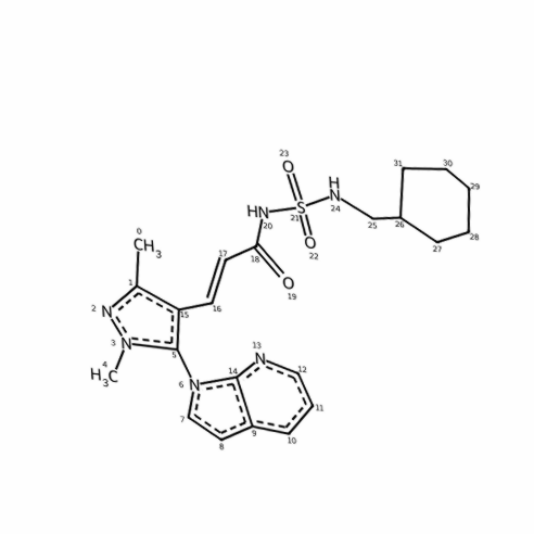 Cc1nn(C)c(-n2ccc3cccnc32)c1C=CC(=O)NS(=O)(=O)NCC1CCCCC1